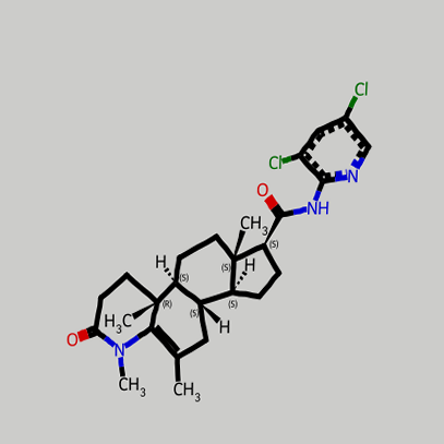 CC1=C2N(C)C(=O)CC[C@]2(C)[C@H]2CC[C@]3(C)[C@@H](C(=O)Nc4ncc(Cl)cc4Cl)CC[C@H]3[C@@H]2C1